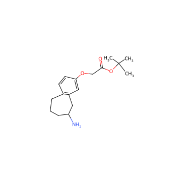 CC(C)(C)OC(=O)COc1ccc2c(c1)CC(N)CCC2